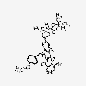 COc1ccc(Cn2nc(Oc3c(Cl)cncc3Br)c3ncc(N4CCC(C)(NC(=O)OC(C)(C)C)CC4)nc32)cc1